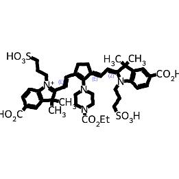 CCOC(=O)N1CCN(C2=C(/C=C/C3=[N+](CCCS(=O)(=O)O)c4ccc(C(=O)O)cc4C3(C)C)CC/C2=C\C=C2/N(CCCS(=O)(=O)O)c3ccc(C(=O)O)cc3C2(C)C)CC1